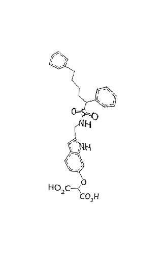 O=C(O)C(Oc1ccc2cc(CNS(=O)(=O)C(CCCCc3ccccc3)c3ccccc3)[nH]c2c1)C(=O)O